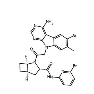 Cc1cc2c(cc1Br)c1c(N)ncnc1n2CC(=O)N1[C@@H]2CC[C@@H]2C[C@H]1C(=O)Nc1cccc(Br)n1